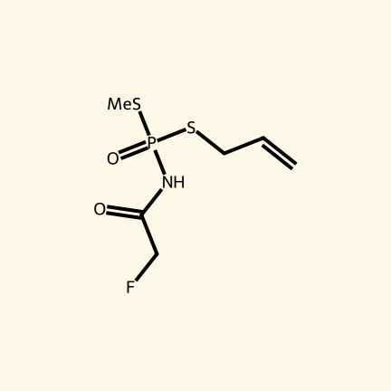 C=CCSP(=O)(NC(=O)CF)SC